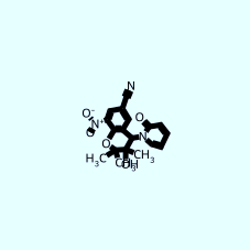 CC1(C)Oc2c(cc(C#N)cc2[N+](=O)[O-])C(n2ccccc2=O)C1(C)O